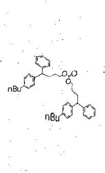 CCCCc1ccc(C(CCCOC(=O)OCCCC(c2ccccc2)c2ccc(CCCC)cc2)c2ccccc2)cc1